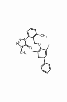 Cc1cccc(-n2nnn(C)c2=O)c1COc1c(F)cc(-c2ccccc2)cc1F